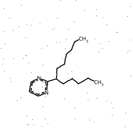 CCCCCCC(CCCCC)c1ncccn1